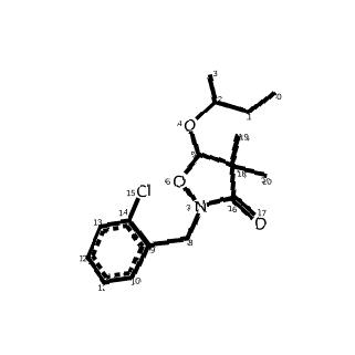 CCC(C)OC1ON(Cc2ccccc2Cl)C(=O)C1(C)C